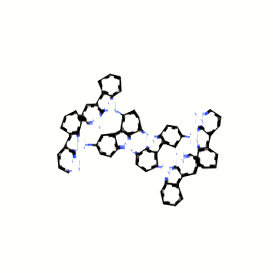 c1ccc2c(c1)c1cccnc1n2-c1ccc2c(c1)c1c(-n3c4ccccc4c4cccnc43)ccc3c1n2c1ccc(-n2c4ccccc4c4cccnc42)c2c4cc(-n5c6ccccc6c6cccnc65)ccc4n3c21